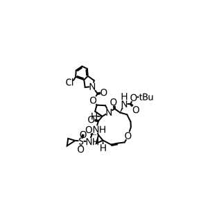 CC(C)(C)OC(=O)N[C@H]1CCCOCC=C[C@@H]2C[C@@]2(C(=O)NS(=O)(=O)C2CC2)NC(=O)[C@@H]2C[C@@H](OC(=O)N3Cc4cccc(Cl)c4C3)CN2C1=O